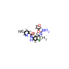 CC(C)(/N=C(/N)O[C@H]1CCOC1)c1cc(NC(=O)c2ccc(C#N)cn2)ccc1F